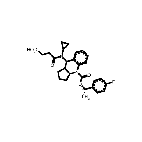 C[C@H](OC(=O)N1c2ccccc2C(N(C(=O)CCC(=O)O)C2CC2)C2CCCC21)c1ccc(F)cc1